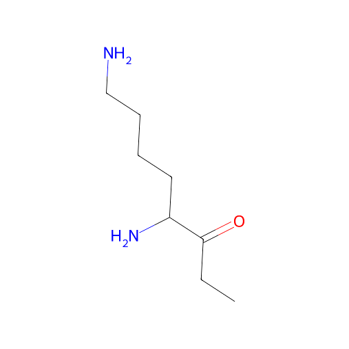 CCC(=O)C(N)CCCCN